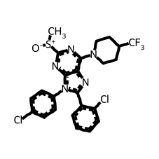 C[S+]([O-])c1nc(N2CCC(C(F)(F)F)CC2)c2nc(-c3ccccc3Cl)n(-c3ccc(Cl)cc3)c2n1